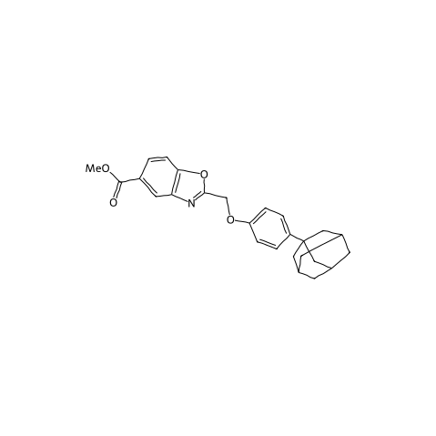 COC(=O)c1ccc2oc(COc3ccc(C45CC6CC(CC(C6)C4)C5)cc3)nc2c1